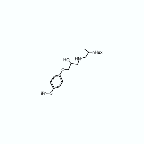 CCCCCCC(C)CNCC(O)COc1ccc(SC(C)C)cc1